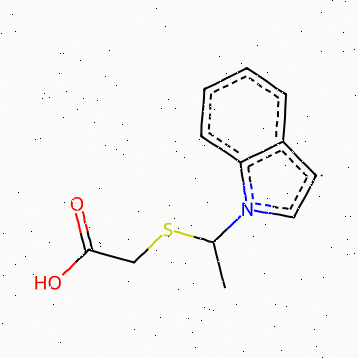 CC(SCC(=O)O)n1c[c]c2ccccc21